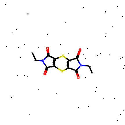 [CH2][CH]n1c(=O)c2sc3c(=O)n([CH][CH2])c(=O)c3sc2c1=O